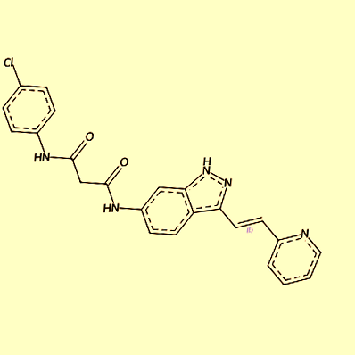 O=C(CC(=O)Nc1ccc2c(/C=C/c3ccccn3)n[nH]c2c1)Nc1ccc(Cl)cc1